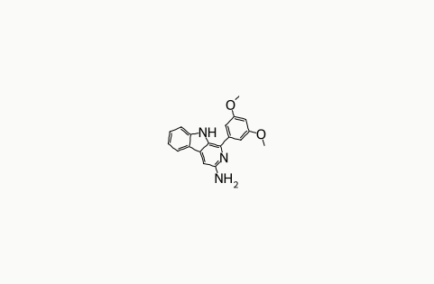 COc1cc(OC)cc(-c2nc(N)cc3c2[nH]c2ccccc23)c1